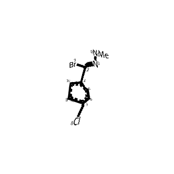 CNN=C(Br)c1ccc(Cl)cc1